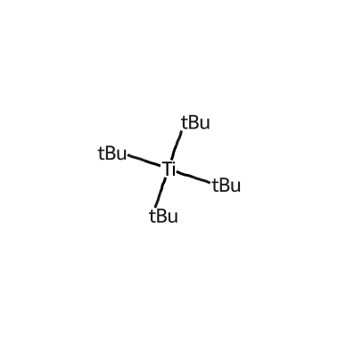 C[C](C)(C)[Ti]([C](C)(C)C)([C](C)(C)C)[C](C)(C)C